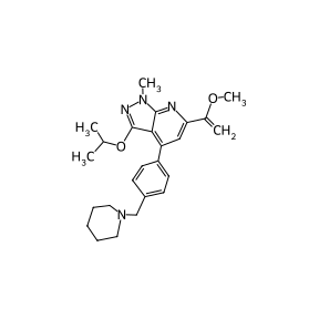 C=C(OC)c1cc(-c2ccc(CN3CCCCC3)cc2)c2c(OC(C)C)nn(C)c2n1